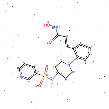 O=C(C=Cc1ccccc1N1CCC(NS(=O)(=O)c2cccnc2)CC1)NO